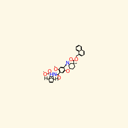 COC(=O)[C@@H]1[C@H](NC(=O)c2cc(O[C@H]3CC[C@@](C)(C(=O)OCc4cccc5ccccc45)CC3)c(C#N)cc2OC)[C@@H]2C=C[C@H]1C2